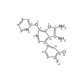 Nc1oc2c(Oc3ccccn3)ncc(-c3ccc(F)c(Cl)c3)c2c1N